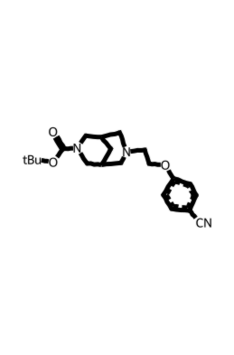 CC(C)(C)OC(=O)N1CC2CC(CN(CCOc3ccc(C#N)cc3)C2)C1